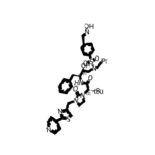 CC(C)CN(C[C@@H](O)[C@H](Cc1ccccc1)NC(=O)[C@@H](N1CCN(Cc2csc(-c3ccncc3)n2)C1=O)C(C)(C)C)S(=O)(=O)c1ccc(C=NO)cc1